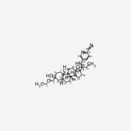 CCOC[C@@]1(O)CC[C@@]2(C)[C@H](CC[C@@H]3[C@@H]2CC[C@]2(C)[C@@H](C(CC)Nc4ccc(C#N)nc4)CC[C@@H]32)C1